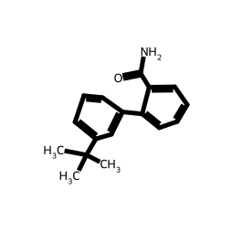 CC(C)(C)c1cccc(-c2ccccc2C(N)=O)c1